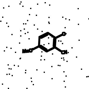 COc1ccc([O])c(C#N)c1